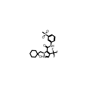 CS(=O)(=O)c1cccc(NC(=O)c2c(C(F)(F)F)cnn2CC2(O)CCCCC2)c1